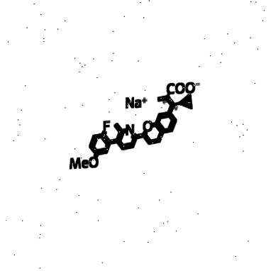 COc1ccc(F)c(-c2ccc(C3CCc4ccc([C@H](C5CC5)[C@H](C)C(=O)[O-])cc4O3)nc2C)c1.[Na+]